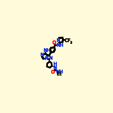 CCNC(=O)N[C@@H]1CCC[C@H](c2nc(-c3ccc(C(=O)Nc4cc(C(F)(F)F)ccn4)cc3)c3c(N)nccn23)C1